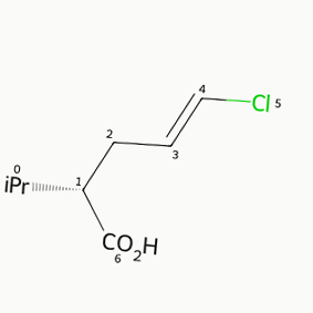 CC(C)[C@H](CC=CCl)C(=O)O